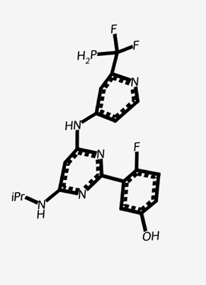 CC(C)Nc1cc(Nc2ccnc(C(F)(F)P)c2)nc(-c2cc(O)ccc2F)n1